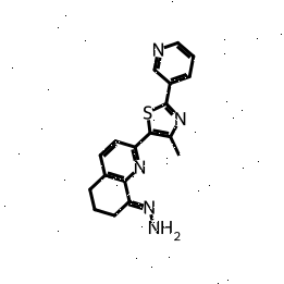 Cc1nc(-c2cccnc2)sc1-c1ccc2c(n1)/C(=N/N)CCC2